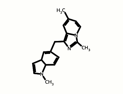 Cc1ccn2c(C)nc(CC3=CC4C=CN(C)C4C=C3)c2c1